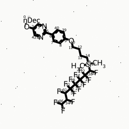 CCCCCCCCCCOc1cnc(-c2ccc(OCCCC[Si](C)(C)C(F)C(F)(F)C(F)(F)C(F)(F)C(F)(F)C(F)C(F)C(F)F)cc2)nc1